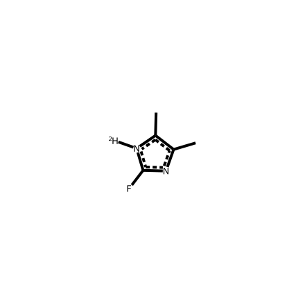 [2H]n1c(F)nc(C)c1C